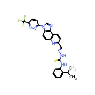 CC(C)c1ccccc1NC(=S)NN=Cc1ccc2c(ccc3c2ncn3-c2ccc(C(F)(F)F)nn2)n1